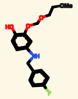 COCCOCOc1cc(NCc2ccc(F)cc2)ccc1O